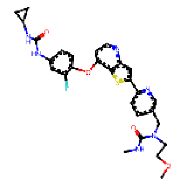 CNC(=O)N(CCOC)Cc1ccc(-c2cc3nccc(Oc4ccc(NC(=O)NC5CC5)cc4F)c3s2)nc1